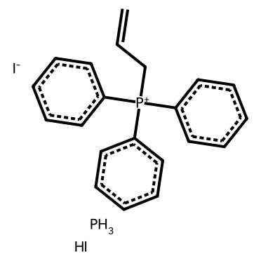 C=CC[P+](c1ccccc1)(c1ccccc1)c1ccccc1.I.P.[I-]